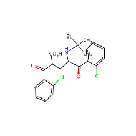 CCC(C)(C)NC(CC(C(=O)O)C(=O)c1ccccc1Cl)C(=O)c1ccccc1Cl